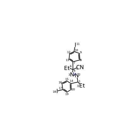 CCC(/N=N/C(C#N)(CC)c1ccc(I)cc1)c1ccc(I)cc1